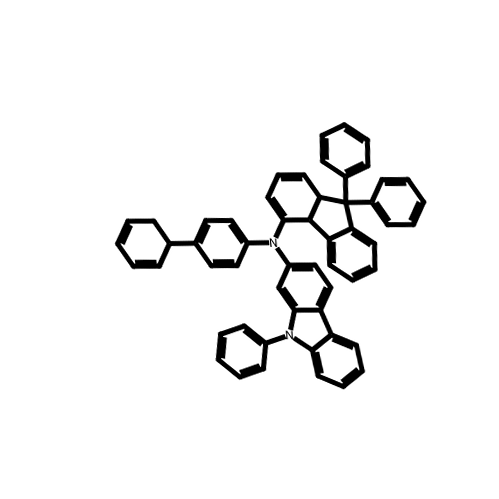 C1=CCC(c2ccc(N(C3=CC=CC4C3c3ccccc3C4(c3ccccc3)c3ccccc3)c3ccc4c5ccccc5n(-c5ccccc5)c4c3)cc2)C=C1